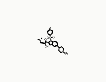 Cc1ccc(S(=O)(=O)n2c(C(=O)/C(C#N)=C\N(C)C)cc3cc(C4CCN(C(C)C)CC4)ccc32)cc1